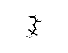 C=CC(C)CCC(C)(C)O